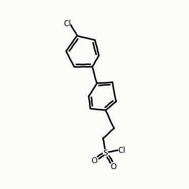 O=S(=O)(Cl)CCc1ccc(-c2ccc(Cl)cc2)cc1